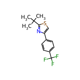 CC(C)(C)c1nc(-c2ccc(C(F)(F)F)cc2)cs1